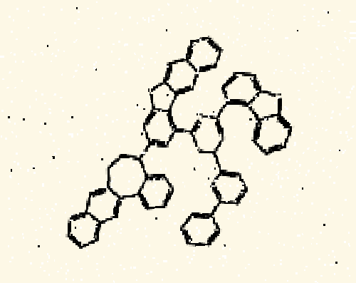 c1ccc(-c2cccc(C3N=C(c4cccc5oc6ccccc6c45)N=C(c4cc(C5CCc6cc7ccccc7cc6-c6ccccc65)cc5oc6cc7ccccc7cc6c45)N3)c2)cc1